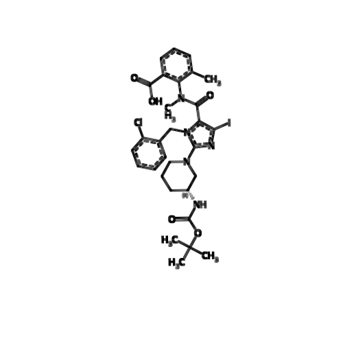 Cc1cccc(C(=O)O)c1N(C)C(=O)c1c(I)nc(N2CCC[C@@H](NC(=O)OC(C)(C)C)C2)n1Cc1ccccc1Cl